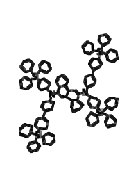 c1ccc([Si](c2ccccc2)(c2ccccc2)c2ccc(-c3ccc(N(c4ccc([Si](c5ccccc5)(c5ccccc5)c5ccccc5)cc4)c4cc5c6ccccc6c(N(c6ccc(-c7ccc([Si](c8ccccc8)(c8ccccc8)c8ccccc8)cc7)cc6)c6ccc([Si](c7ccccc7)(c7ccccc7)c7ccccc7)cc6)cc5c5ccccc45)cc3)cc2)cc1